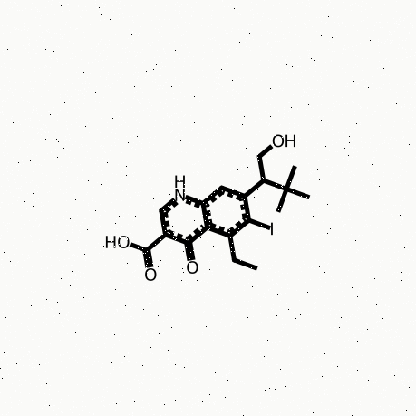 CCc1c(I)c(C(CO)C(C)(C)C)cc2[nH]cc(C(=O)O)c(=O)c12